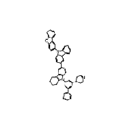 C1=CC(C2=CC(n3c4c(c5cc(C6=CC7c8ccccc8N(c8ccc9oc%10ccccc%10c9c8)C7C=C6)ccc53)CCCC4)CC(c3ccccc3)=C2)CC=N1